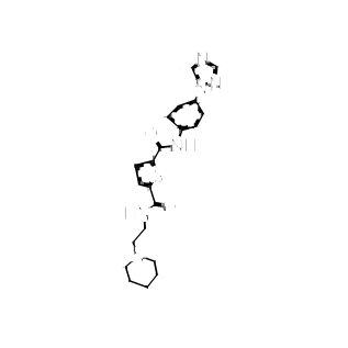 O=C(NCCN1CCCCC1)c1ccc(C(=O)Nc2ccc(-n3cncn3)cc2)s1